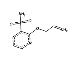 C=CCOc1ncccc1S(N)(=O)=O